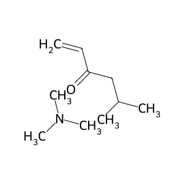 C=CC(=O)CC(C)C.CN(C)C